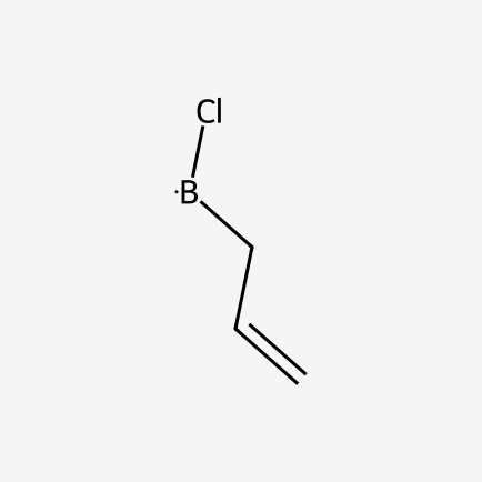 C=CC[B]Cl